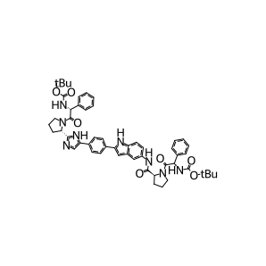 CC(C)(C)OC(=O)N[C@@H](C(=O)N1CCC[C@H]1C(=O)Nc1ccc2[nH]c(-c3ccc(-c4cnc([C@@H]5CCCN5C(=O)[C@H](NC(=O)OC(C)(C)C)c5ccccc5)[nH]4)cc3)cc2c1)c1ccccc1